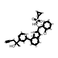 C#CCC(C)(O)c1ccnc(-c2cccc3cc([C@H](NS(=O)(=O)C4CC4)c4ccccc4Cl)sc23)c1